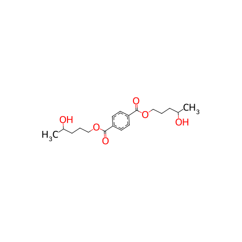 CC(O)CCCOC(=O)c1ccc(C(=O)OCCCC(C)O)cc1